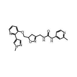 Cc1cc(NC(=O)NCC2=NOC(COc3cccnc3-c3cnn(C)c3)C2)ccn1